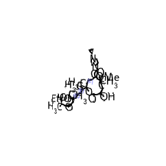 CCC(O)C(C)C1OC1CC(C)(O)/C=C/C=C(\C)C1OC(=O)CC(O)CCC(C)(OC)C(OC(=O)N2CCN(C3CC3)CC2)/C=C/C1C